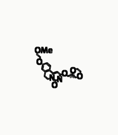 COCCOc1ccc2c(c1)CCn1c-2cc(OC[C@@H]2COCCO2)nc1=O